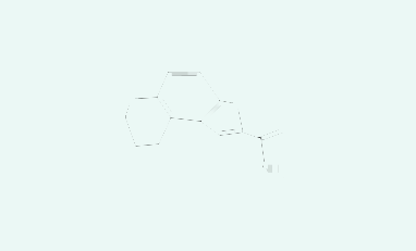 NC(=O)c1cc2c3c(ccc2o1)OCCC3